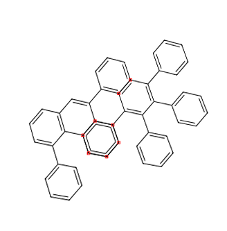 C(=C(c1ccccc1)c1ccccc1-c1ccc(-c2ccccc2)c(-c2ccccc2)c1-c1ccccc1)c1cccc(-c2ccccc2)c1-c1ccccc1